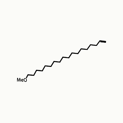 C=CCCCCCCCCCCCCCCCCOC